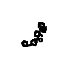 Cc1c(C(=O)N2CCC(Cc3ccccc3)CC2)cccc1-n1nnc2cccnc21